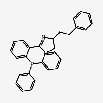 c1ccc(CC[C@H]2COC(c3ccccc3P(c3ccccc3)c3ccccc3)=N2)cc1